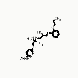 C=CCOc1ccccc1OCC(O)CNC(C)(C)COc1ccc(NN)nn1